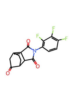 O=C1CC2=C3C(=O)N(c4ccc(F)c(F)c4F)C(=O)C3C1CC2